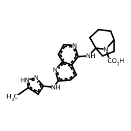 Cc1cc(Nc2ccc3c(NC45CCCC(CC4)N5C(=O)O)nccc3n2)n[nH]1